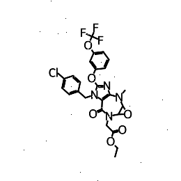 CCOC(=O)CN1C(=O)c2c(nc(Oc3cccc(OC(F)(F)F)c3)n2Cc2ccc(Cl)cc2)N(C)C2OC21